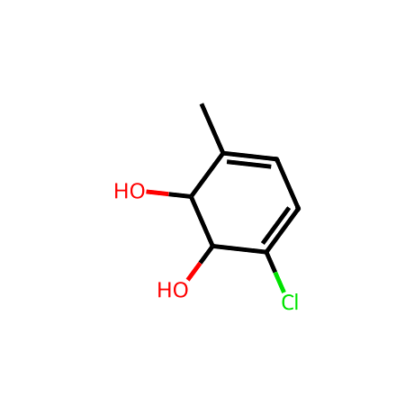 CC1=CC=C(Cl)C(O)C1O